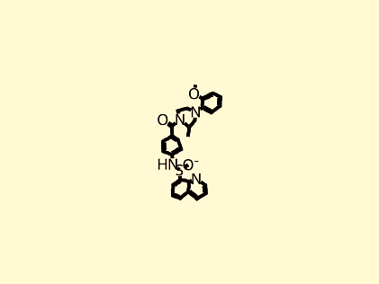 COc1ccccc1N1CCN(C(=O)c2ccc(N[S+]([O-])c3cccc4cccnc34)cc2)C(C)C1